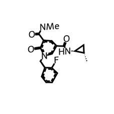 CNC(=O)c1cc(C(=O)N[C@@H]2C[C@@H]2C)cn(Cc2ccccc2F)c1=O